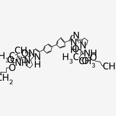 C=CCCOC(=O)N[C@H](C(=O)N1CCCC1c1ncc(-c2ccc(-c3ccc(-c4cnc([C@@H]5CCCN5C(=O)[C@@H](NC(=O)OCCC=C)C(C)C)[nH]4)cc3)cc2)[nH]1)C(C)C